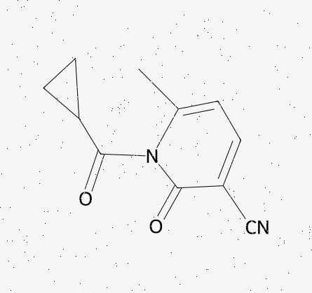 Cc1ccc(C#N)c(=O)n1C(=O)C1CC1